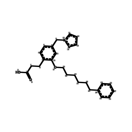 O=C(O)CCc1ccc(Cn2cccn2)cc1OCCCCCCc1ccccc1